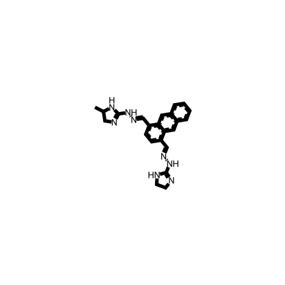 CC1CN=C(N/N=C/c2ccc(/C=N/NC3=NCCN3)c3cc4ccccc4cc23)N1